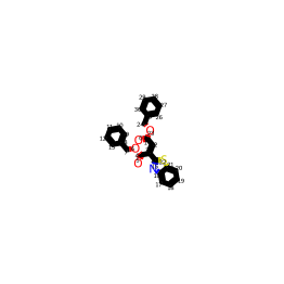 O=C(/C=C(\C(=O)OCc1ccccc1)c1nc2ccccc2s1)OCc1ccccc1